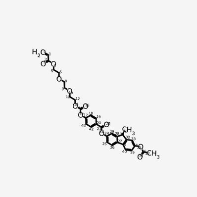 C=CC(=O)OCCOCCOCCOC(=O)Oc1ccc(C(=O)Oc2ccc3c(c2)C(C)c2cc(OC(C)=O)ccc2-3)cc1